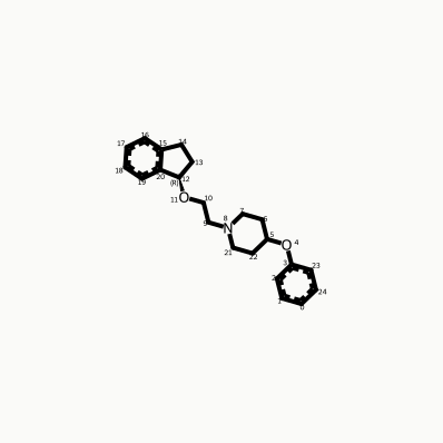 c1ccc(OC2CCN(CCO[C@@H]3CCc4ccccc43)CC2)cc1